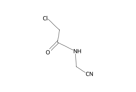 N#CCNC(=O)CCl